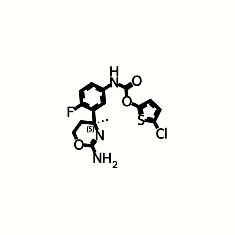 C[C@@]1(c2cc(NC(=O)Oc3ccc(Cl)s3)ccc2F)CCOC(N)=N1